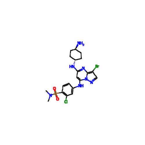 CN(C)S(=O)(=O)c1ccc(Nc2cc(N[C@H]3CC[C@H](N)CC3)nc3c(Br)cnn23)cc1Cl